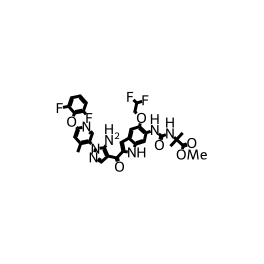 COC(=O)C(C)(C)NC(=O)Nc1cc2[nH]c(C(=O)c3cnn(-c4cnc(Oc5c(F)cccc5F)cc4C)c3N)cc2cc1OCC(F)F